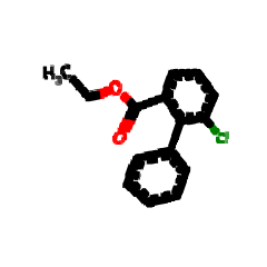 CCOC(=O)c1cccc(Cl)c1-c1ccccc1